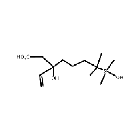 C=CC(O)(CCCC(C)(C)[Si](C)(C)O)CC(=O)O